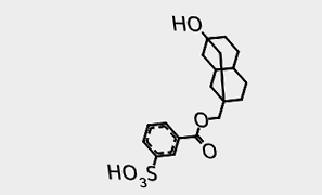 O=C(OCC12CCC3CCC(O)(CC3C1)C2)c1cccc(S(=O)(=O)O)c1